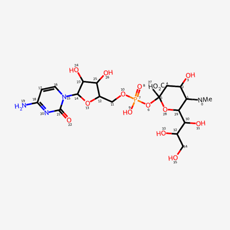 CNC1C(O)CC(OP(=O)(O)OCC2OC(n3ccc(N)nc3=O)C(O)C2O)(C(=O)O)OC1C(O)C(O)CO